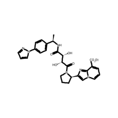 CCOC(=O)c1cccn2cc([C@H]3CCCN3C(=O)[C@H](O)[C@@H](O)C(=O)N[C@H](C)c3ccc(-n4cccn4)cc3)nc12